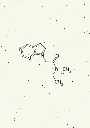 CCN(C)C(=O)Cn1ccc2cncnc21